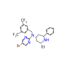 CC[C@@H]1C[C@H](N(Cc2cc(C(F)(F)F)cc(C(F)(F)F)c2)c2ncc(Br)cn2)CC(c2ccccc2)N1